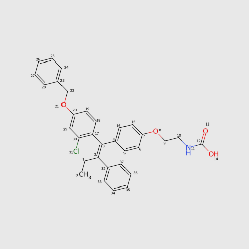 CC/C(=C(/c1ccc(OCCNC(=O)O)cc1)c1ccc(OCc2ccccc2)cc1Cl)c1ccccc1